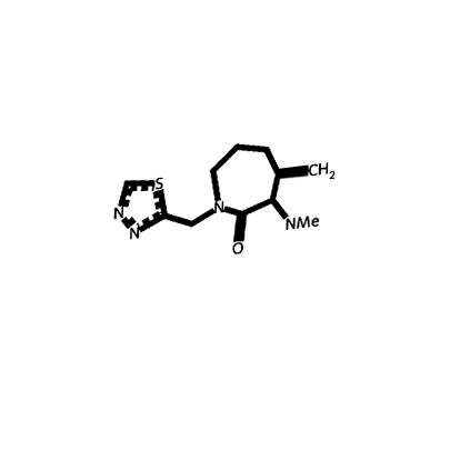 C=C1CCCN(Cc2nncs2)C(=O)C1NC